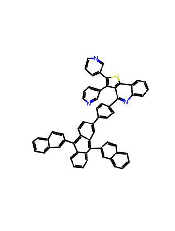 c1cncc(-c2sc3c(c(-c4ccc(-c5ccc6c(-c7ccc8ccccc8c7)c7ccccc7c(-c7ccc8ccccc8c7)c6c5)cc4)nc4ccccc43)c2-c2cccnc2)c1